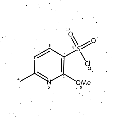 COc1nc(C)ccc1S(=O)(=O)Cl